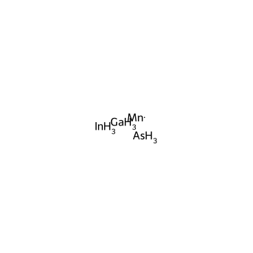 [AsH3].[GaH3].[InH3].[Mn]